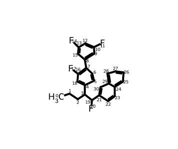 CCCC(c1ccc(-c2cc(F)cc(F)c2)c(F)c1)C(F)c1ccc2ccccc2c1